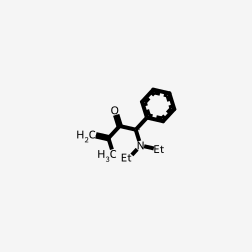 C=C(C)C(=O)[C](c1ccccc1)N(CC)CC